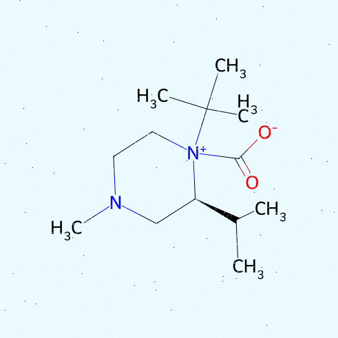 CC(C)[C@H]1CN(C)CC[N+]1(C(=O)[O-])C(C)(C)C